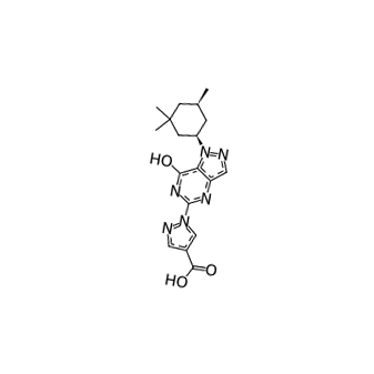 C[C@H]1C[C@@H](n2ncc3nc(-n4cc(C(=O)O)cn4)nc(O)c32)CC(C)(C)C1